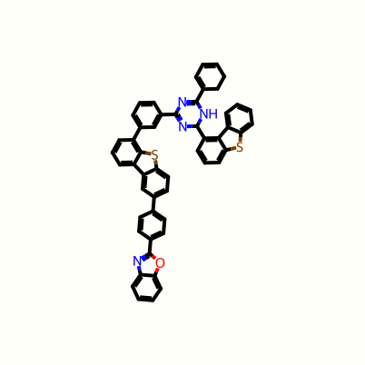 C1=CCCC(C2=NC(c3cccc(-c4cccc5c4sc4ccc(-c6ccc(-c7nc8ccccc8o7)cc6)cc45)c3)=NC(c3cccc4sc5ccccc5c34)N2)=C1